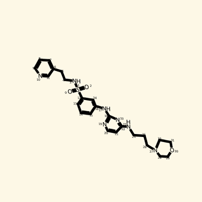 O=S(=O)(NCCc1cccnc1)c1cccc(Nc2nccc(NCCCN3CCOCC3)n2)c1